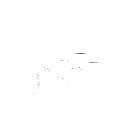 Nc1cc(Cl)c(Oc2ccc([N+](=O)[O-])cc2Cl)c(Cl)c1